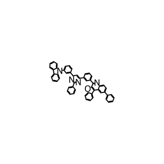 c1ccc(-c2ccc3nc(-c4cccc(-c5cc(-c6cccc(-n7c8ccccc8c8ccccc87)c6)nc(-c6ccccc6)n5)c4)c4oc5ccccc5c4c3c2)cc1